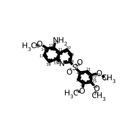 COc1cc(S(=O)(=O)c2ccc3c(N)c(OC)ccc3n2)cc(OC)c1OC